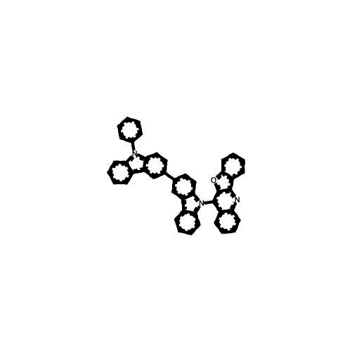 c1ccc(-n2c3ccccc3c3cc(-c4ccc5c(c4)c4ccccc4n5-c4c5ccccc5nc5c4oc4ccccc45)ccc32)cc1